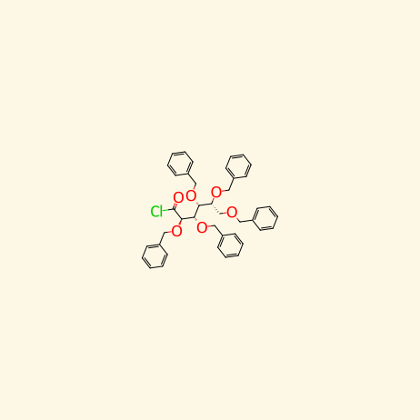 O=C(Cl)[C@H](OCc1ccccc1)[C@@H](OCc1ccccc1)[C@H](OCc1ccccc1)[C@@H](COCc1ccccc1)OCc1ccccc1